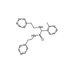 Cc1ccccc1C(NCCc1ccncc1)C(=O)NCCc1ccncc1